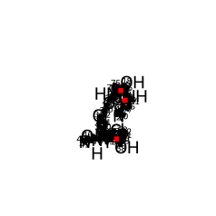 Cc1ncsc1-c1ccc([C@H](C)NC(=O)[C@@H]2C[C@@H](O)CN2C(=O)[C@@H](NC(=O)COCC/C=C/C(=O)N2CCN(c3nc(NCCC(=O)N(C)C)nc4c(F)c(-c5cc(O)cc6ccccc56)c(Cl)cc34)CC2)C(C)(C)C)cc1